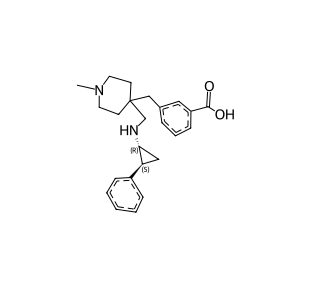 CN1CCC(CN[C@@H]2C[C@H]2c2ccccc2)(Cc2cccc(C(=O)O)c2)CC1